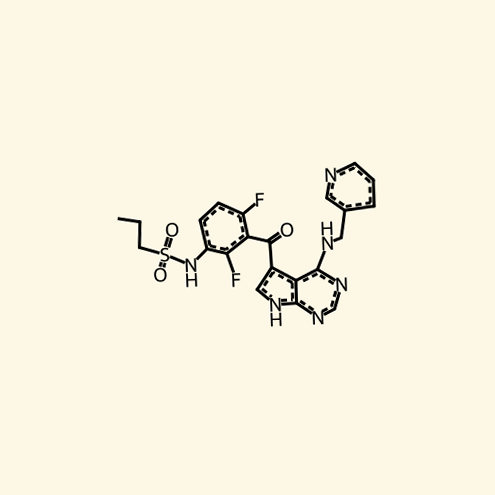 CCCS(=O)(=O)Nc1ccc(F)c(C(=O)c2c[nH]c3ncnc(NCc4cccnc4)c23)c1F